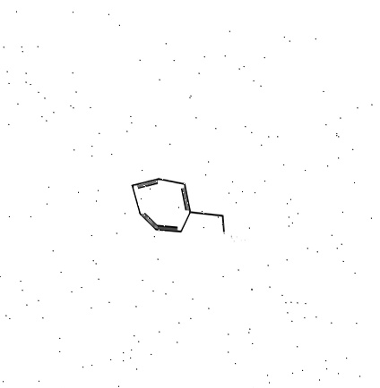 COCC1=CC=CC=C=C1